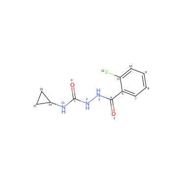 O=C(NNC(=O)c1ccccc1F)NC1CC1